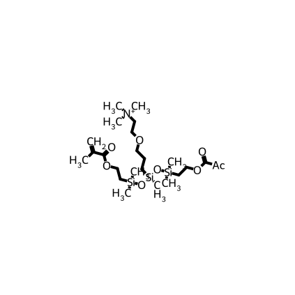 C=C(C)C(=O)OCC[Si](C)(C)O[Si](C)(CCCOCC[N+](C)(C)C)O[Si](C)(C)CCOC(=O)C(C)=O